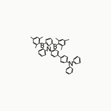 Cc1cc(C)c(B2c3ccccc3N3c4ccc(-c5ccc(N(c6ccccc6)c6ccccc6)cc5)cc4B(c4c(C)cc(C)cc4C)c4cccc2c43)c(C)c1